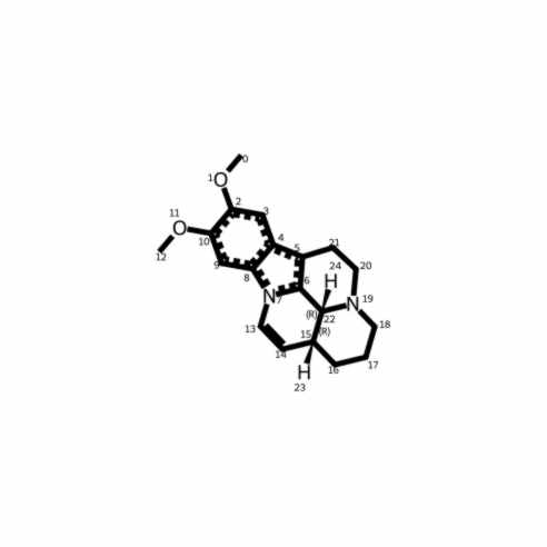 COc1cc2c3c4n(c2cc1OC)C=C[C@H]1CCCN(CC3)[C@@H]41